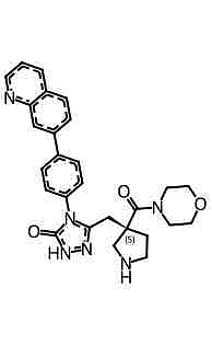 O=C(N1CCOCC1)[C@]1(Cc2n[nH]c(=O)n2-c2ccc(-c3ccc4cccnc4c3)cc2)CCNC1